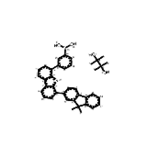 CC(C)(O)C(C)(C)O.CC1(C)c2ccccc2-c2ccc(-c3cccc4c3sc3c(-c5cccc(B(O)O)c5)cccc34)cc21